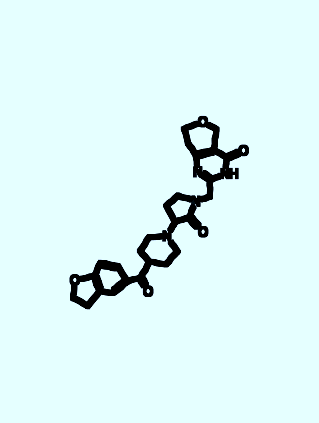 O=C(c1ccc2c(c1)CCO2)C1CCN(C2CCN(Cc3nc4c(c(=O)[nH]3)COCC4)C2=O)CC1